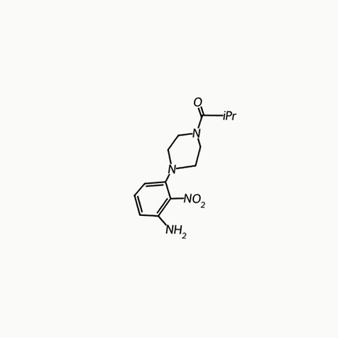 CC(C)C(=O)N1CCN(c2cccc(N)c2[N+](=O)[O-])CC1